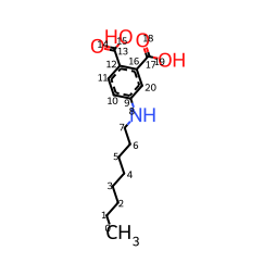 CCCCCCCCNc1ccc(C(=O)O)c(C(=O)O)c1